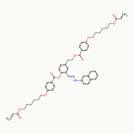 C=CC(=O)OCCCCCCOc1ccc(C(=O)OCCc2ccc(OC(=O)c3ccc(OCCCCCCOC(=O)C=C)cc3)c(/C=N/Nc3ccc4ccccc4c3)c2)cc1